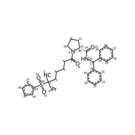 CC(C)C(C#N)(CCCCC(=O)N1CCC[C@@H]1C(=O)NC(c1ccccc1)c1ccccc1)S(=O)(=O)c1cccs1